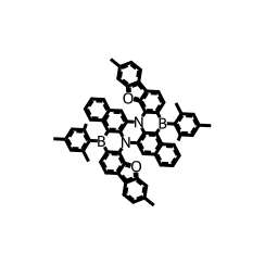 Cc1cc(C)c(B2c3ccc4c(oc5cc(C)ccc54)c3N3c4cc5ccccc5c5c4N(c4cc6ccccc6c2c43)c2c(ccc3c2oc2cc(C)ccc23)B5c2c(C)cc(C)cc2C)c(C)c1